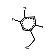 OCc1cc(F)c(O)cc1F